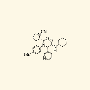 CC(C)(C)c1ccc(N(C(=O)[C@@H]2CCCN2C#N)C(C(=O)NC2CCCCC2)c2cccnc2)cc1